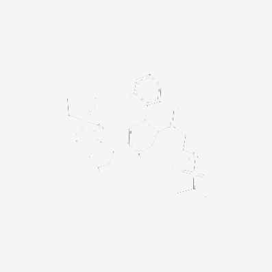 CC(C)S(=O)(=O)NCCN(Cc1ccccc1)c1ccc([C@@H]2CCC[C@@H]2NS(=O)(=O)C(C)C)cc1